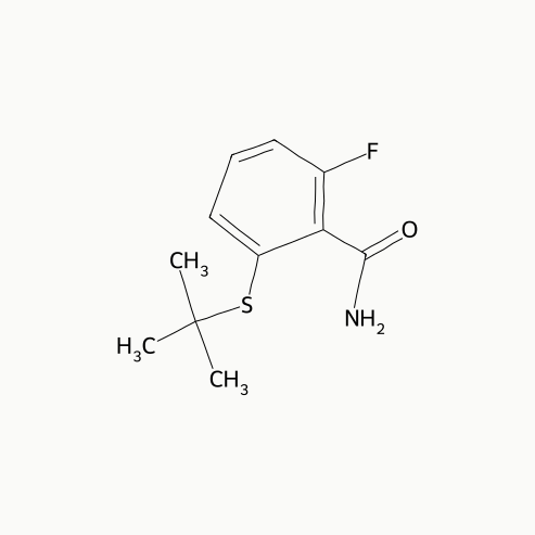 CC(C)(C)Sc1cccc(F)c1C(N)=O